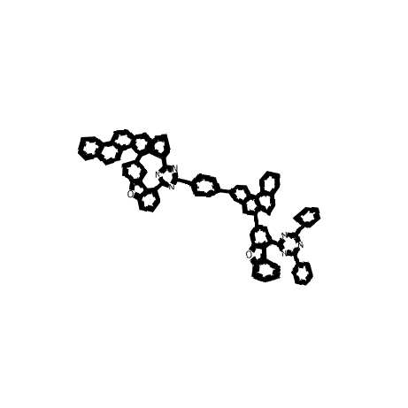 c1ccc(-c2nc(-c3ccccc3)nc(-c3cc(-c4cc5cc(-c6ccc(-c7nc(-c8ccccc8)nc(-c8cccc9oc%10ccc(-c%11cccc%12ccc%13c%14ccccc%14ccc%13c%11%12)cc%10c89)n7)cc6)ccc5c5c4ccc4ccccc45)cc4oc5ccccc5c34)n2)cc1